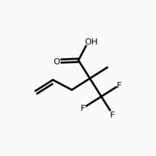 C=CCC(C)(C(=O)O)C(F)(F)F